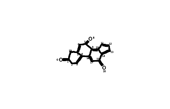 O=C1CC=C2C(=CC(=O)C3=C4C=CC=C4C(=O)C=C23)C1